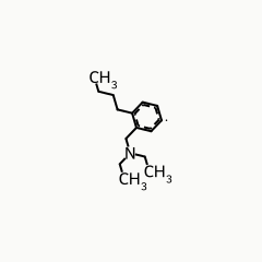 CCCCc1cc[c]cc1CN(CC)CC